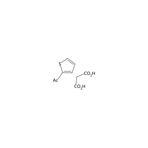 CC(=O)c1cccs1.O=C(O)CC(=O)O